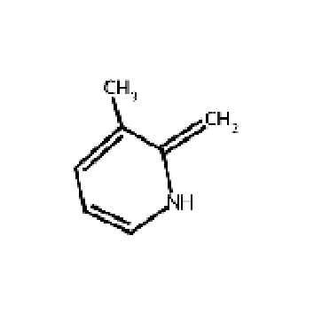 C=C1NC=CC=C1C